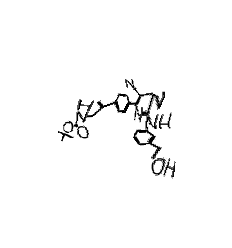 CC(CNC(=O)OC(C)(C)C)c1ccc(-c2nc(Nc3cccc(CCO)c3)ncc2C#N)cc1